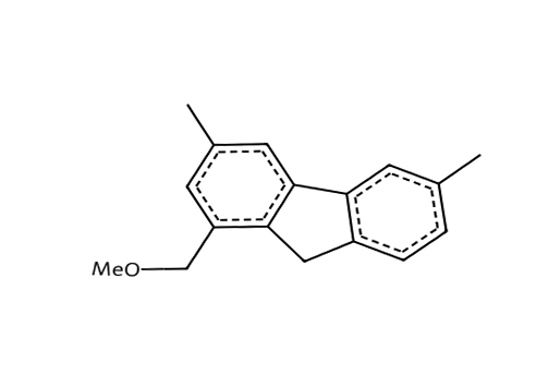 COCc1cc(C)cc2c1Cc1ccc(C)cc1-2